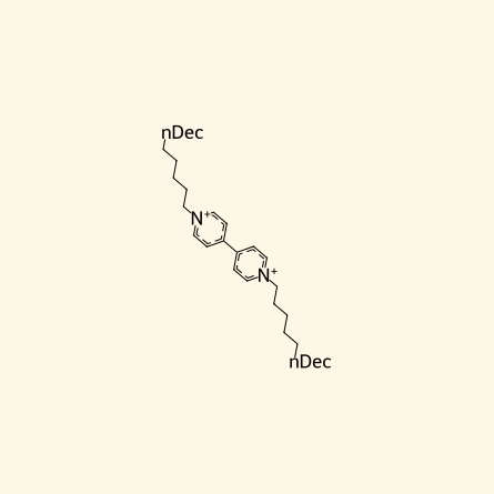 CCCCCCCCCCCCCCC[n+]1ccc(-c2cc[n+](CCCCCCCCCCCCCCC)cc2)cc1